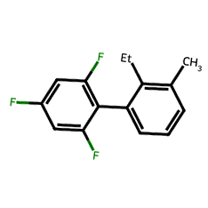 CCc1c(C)cccc1-c1c(F)cc(F)cc1F